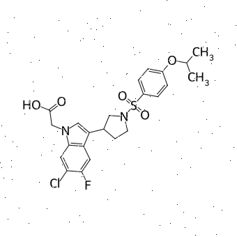 CC(C)Oc1ccc(S(=O)(=O)N2CCC(c3cn(CC(=O)O)c4cc(Cl)c(F)cc34)C2)cc1